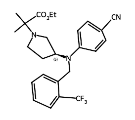 CCOC(=O)C(C)(C)N1CC[C@H](N(Cc2ccccc2C(F)(F)F)c2ccc(C#N)cc2)C1